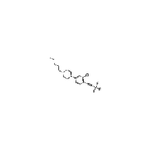 CCCCCC1CCC(c2ccc(C#CC(F)(F)F)c(Cl)c2)CC1